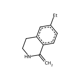 C=C1NCCc2cc(CC)ccc21